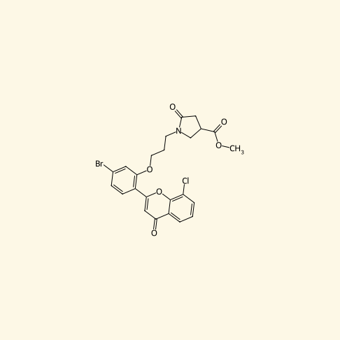 COC(=O)C1CC(=O)N(CCCOc2cc(Br)ccc2-c2cc(=O)c3cccc(Cl)c3o2)C1